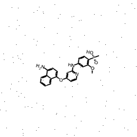 COc1cc(Nc2cc(Oc3ccc(N)c4ccccc34)ccn2)ccc1P(C)(=O)O